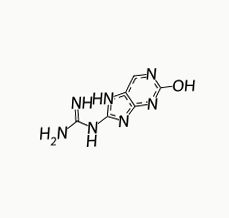 N=C(N)Nc1nc2nc(O)ncc2[nH]1